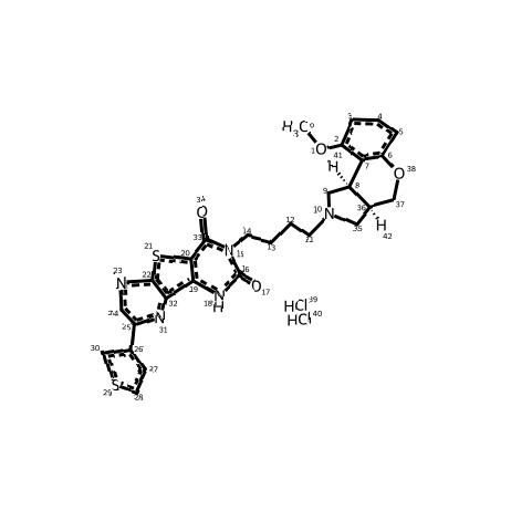 COc1cccc2c1[C@@H]1CN(CCCCn3c(=O)[nH]c4c(sc5ncc(-c6ccsc6)nc54)c3=O)C[C@@H]1CO2.Cl.Cl